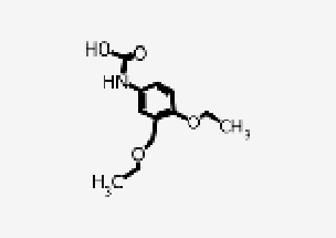 CCOCc1cc(NC(=O)O)ccc1OCC